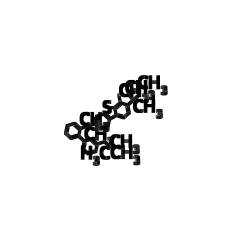 CCCC(C)(CC)c1ccc2c(sc3cc(C(C)(C)c4ccccc4-c4cccc(CC(C)(C)C)c4)ccc32)c1CC